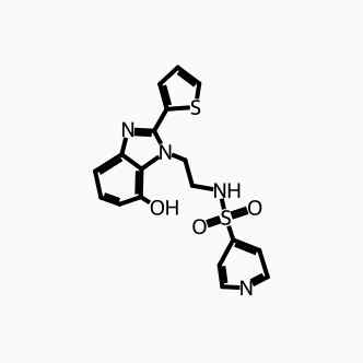 O=S(=O)(NCCn1c(-c2cccs2)nc2cccc(O)c21)c1ccncc1